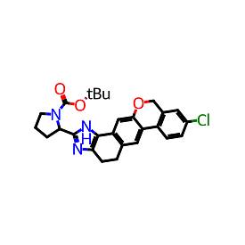 CC(C)(C)OC(=O)N1CCCC1c1nc2c([nH]1)-c1cc3c(cc1CC2)-c1ccc(Cl)cc1CO3